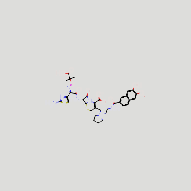 COc1cc2ccc(C(=O)NCC[N+]3(CC4=C(C(=O)[O-])N5C(=O)[C@@H](NC(=O)/C(=N\OC(C)(C)C(=O)O)c6csc(N)n6)[C@H]5SC4)CCCC3)cc2cc1O